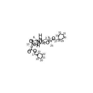 CO[C@@](C)(CCNN[C@@H](C)C(=O)N[C@@H](C)C(=O)OCc1ccccc1)[C@@H](C)OCc1ccccc1